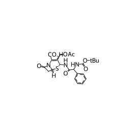 CC(=O)OCC1=C(C(=O)O)N2C(=O)C[C@H]2SC1NC(=O)C(NC(=O)OC(C)(C)C)c1ccccc1